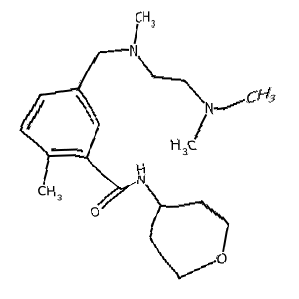 Cc1ccc(CN(C)CCN(C)C)cc1C(=O)NC1CCOCC1